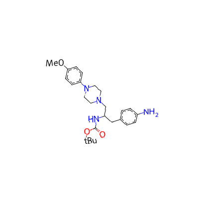 COc1ccc(N2CCN(CC(Cc3ccc(N)cc3)NC(=O)OC(C)(C)C)CC2)cc1